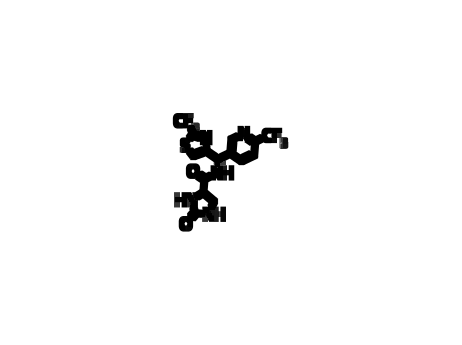 O=C1NCC(C(=O)N[C@@H](c2ccc(C(F)(F)F)nc2)c2csc(C(F)(F)F)n2)N1